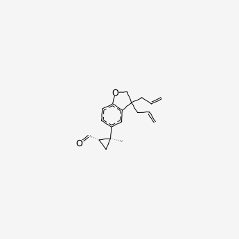 C=CCC1(CC=C)COc2ccc([C@@]3(C)C[C@@H]3C=O)cc21